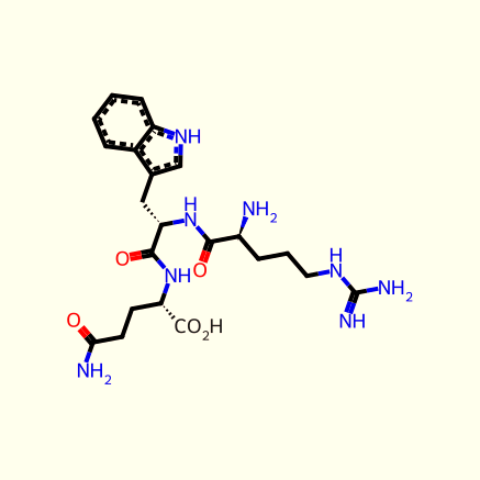 N=C(N)NCCC[C@H](N)C(=O)N[C@@H](Cc1c[nH]c2ccccc12)C(=O)N[C@@H](CCC(N)=O)C(=O)O